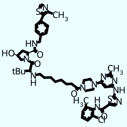 Cc1nc(Nc2ncc(C(=O)Nc3c(C)cccc3Cl)s2)cc(N2CCN(C(=O)CCCCCCCNC(C(=O)N3C[C@H](O)C[C@H]3C(=O)NCc3ccc(-c4scnc4C)cc3)C(C)(C)C)CC2)n1